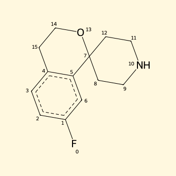 Fc1ccc2c(c1)C1(CCNCC1)OCC2